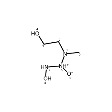 CN(CCO)[NH+]([O-])NO